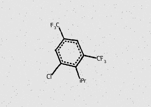 CC(C)c1c(Cl)cc(C(F)(F)F)cc1C(F)(F)F